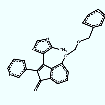 Cc1ncsc1C1=C(c2cccnc2)C(=O)c2cccc(OCOCc3ccccc3)c21